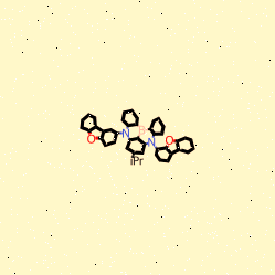 CC(C)c1cc2c3c(c1)N(c1cccc4c1oc1ccccc14)c1ccccc1B3c1ccccc1N2c1ccc2oc3ccccc3c2c1